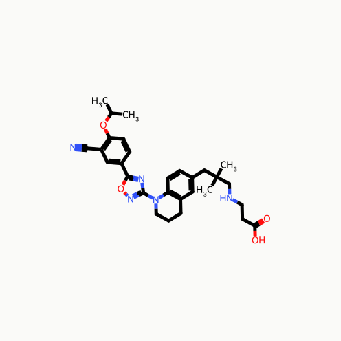 CC(C)Oc1ccc(-c2nc(N3CCCc4cc(CC(C)(C)CNCCC(=O)O)ccc43)no2)cc1C#N